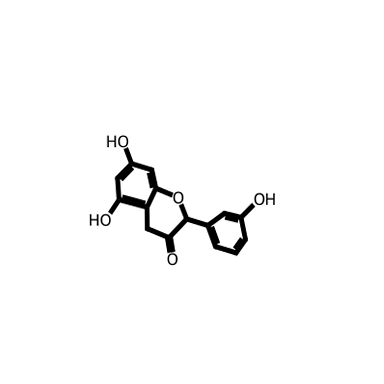 O=C1Cc2c(O)cc(O)cc2OC1c1cccc(O)c1